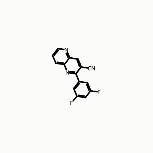 N#Cc1cc2ncccc2nc1-c1cc(F)cc(F)c1